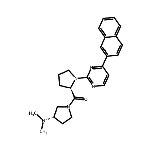 CN(C)[C@H]1CCN(C(=O)[C@H]2CCCN2c2nccc(-c3ccc4ccccc4c3)n2)C1